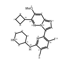 COc1cc2ncc(-c3nc(NC4CCCNC4)c(F)cc3F)n2nc1C1CCC1